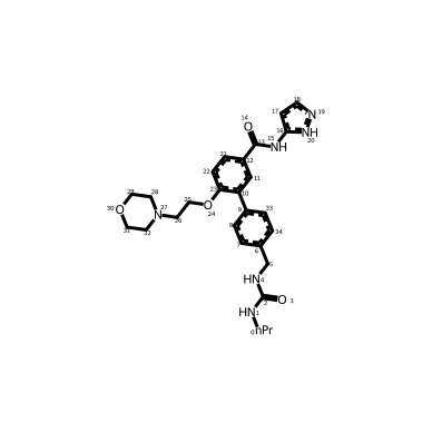 CCCNC(=O)NCc1ccc(-c2cc(C(=O)Nc3ccn[nH]3)ccc2OCCN2CCOCC2)cc1